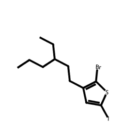 CCCC(CC)CCc1cc(I)sc1Br